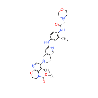 Cc1cc(Nc2cc3c(cn2)CCN(c2cnc4c(c2C)N(C(=O)OC(C)(C)C)CCO4)C3)ccc1NC(=O)CN1CCOCC1